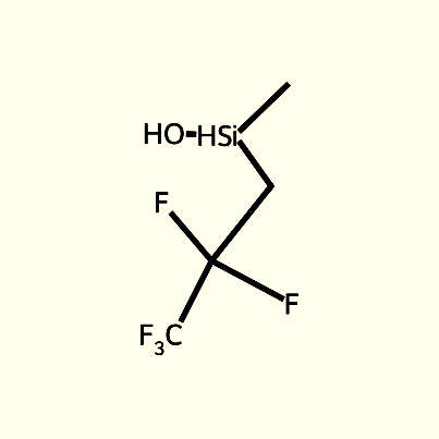 C[SiH](O)CC(F)(F)C(F)(F)F